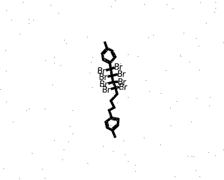 Cc1ccc(CCCCC(Br)(Br)C(Br)(Br)C(Br)(Br)C(Br)(Br)c2ccc(C)cc2)cc1